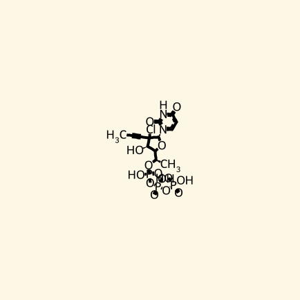 CC#CC1(Cl)[C@@H](O)C([C@@H](C)OP(=O)(O)OP(=O)(O)OP(=O)(O)O)O[C@H]1n1ccc(=O)[nH]c1=O